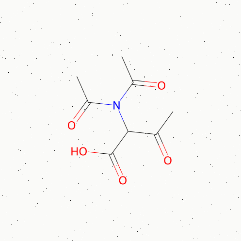 CC(=O)C(C(=O)O)N(C(C)=O)C(C)=O